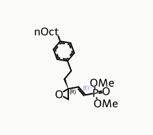 CCCCCCCCc1ccc(CC[C@@]2(/C=C/P(=O)(OC)OC)CO2)cc1